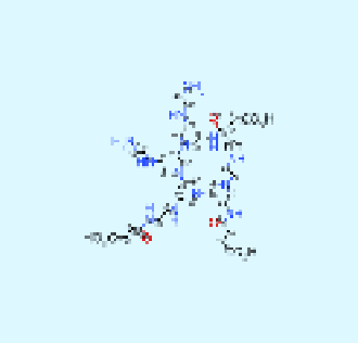 CCCNCCN(CCNC(=O)CCC(=O)O)CCN(CCNCCNC(=O)CCC(=O)O)CCN(CCNCCN)CCN(CCNCCN)CCNC(=O)CCC(=O)O